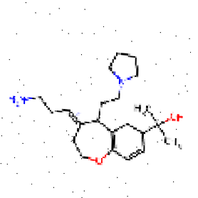 CC(C)(O)C1C=CC2=C(C1)C(CCN1CCCC1)/C(=C/CCN)CCO2